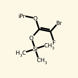 CC(C)OC(O[Si](C)(C)C)=C(F)Br